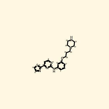 c1cc(Nc2nccc(-c3nccs3)n2)cc(OCCCN2CCNCC2)c1